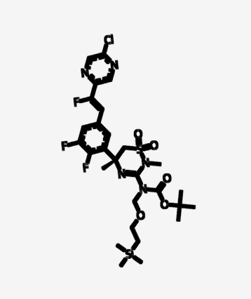 CN1C(N(COCC[Si](C)(C)C)C(=O)OC(C)(C)C)=N[C@](C)(c2cc(/C=C(\F)c3cnc(Cl)cn3)cc(F)c2F)CS1(=O)=O